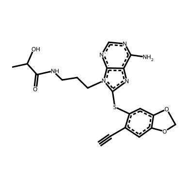 C#Cc1cc2c(cc1Sc1nc3c(N)ncnc3n1CCCNC(=O)C(C)O)OCO2